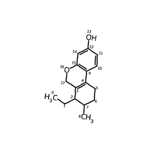 CCC1C2=C(CCC1C)c1ccc(O)cc1OC2